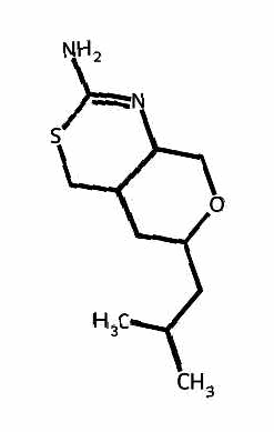 CC(C)CC1CC2CSC(N)=NC2CO1